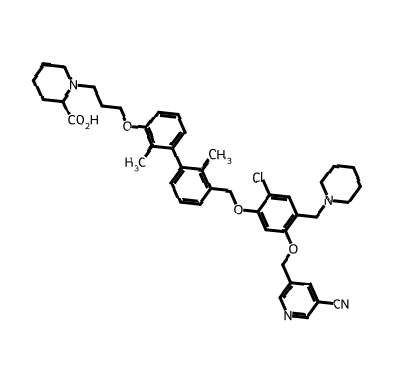 Cc1c(COc2cc(OCc3cncc(C#N)c3)c(CN3CCCCC3)cc2Cl)cccc1-c1cccc(OCCCN2CCCCC2C(=O)O)c1C